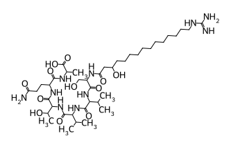 CC(NC(=O)C(CCC(N)=O)NC(=O)C(NC(=O)C(NC(=O)C(NC(=O)C(CO)NC(=O)CC(O)CCCCCCCCCCCCNC(=N)N)C(C)C)C(C)C)C(C)O)C(=O)O